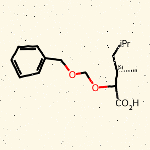 CC(C)C[C@H](C)C(OCOCc1ccccc1)C(=O)O